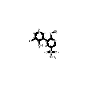 CCOc1ncc(S(N)(=O)=O)cc1-c1cncc(Cl)c1O